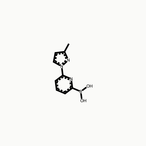 Cc1ccn(-c2cccc(B(O)O)n2)n1